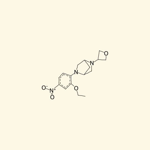 CCOc1cc([N+](=O)[O-])ccc1N1CC2CC1CN2C1COC1